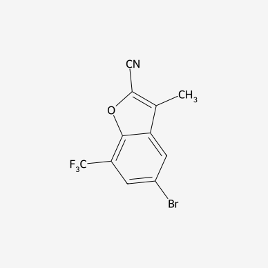 Cc1c(C#N)oc2c(C(F)(F)F)cc(Br)cc12